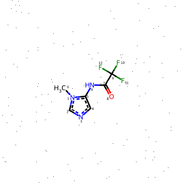 Cn1cncc1NC(=O)C(F)(F)F